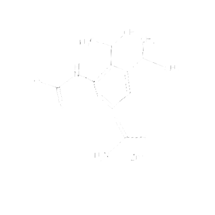 CC(C)c1cccc(NC([O-])=S)c1C(C)C.NC([O-])=S.[Zn+2]